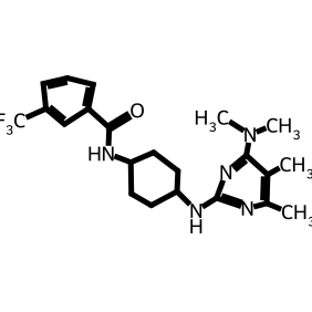 Cc1nc(NC2CCC(NC(=O)c3cccc(C(F)(F)F)c3)CC2)nc(N(C)C)c1C